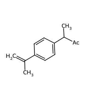 C=C(C)c1ccc(C(C)C(C)=O)cc1